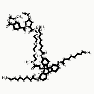 CN(CCOCCOCCON(C)C(=O)C1CC(N=[N+]=[N-])CN1C(=O)c1ccc2c(=O)oc(=O)n(C)c2c1)C(=O)CCC12c3cc(NC(=O)CCCCCCCN)ccc3C3c4ccc(NC(=O)CCCCCCCN)cc4C31c1ccc(NC(=O)CCCCCCCN)cc12